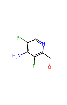 Nc1c(Br)cnc(CO)c1F